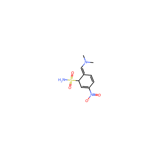 CN(C)C=C1C=CC([N+](=O)[O-])=CC1S(N)(=O)=O